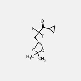 CC1(C)OC[C@H](CC(F)(F)C(=O)C2CC2)O1